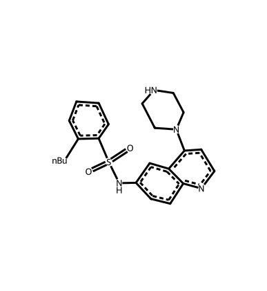 CCCCc1ccccc1S(=O)(=O)Nc1ccc2nccc(N3CCNCC3)c2c1